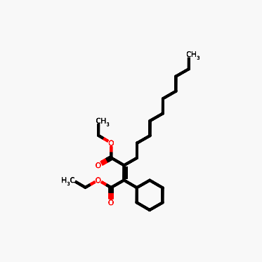 CCCCCCCCCC/C(C(=O)OCC)=C(/C(=O)OCC)C1CCCCC1